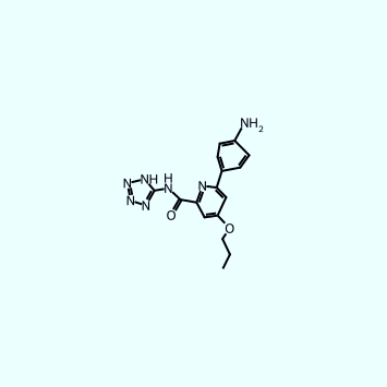 CCCOc1cc(C(=O)Nc2nnn[nH]2)nc(-c2ccc(N)cc2)c1